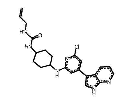 C=CCNC(=O)NC1CCC(Nc2cc(-c3c[nH]c4ncccc34)cc(Cl)n2)CC1